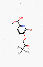 CC(C)(C)C(=O)COc1ccc(C(=O)O)nc1Br